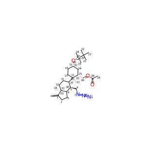 C=C1CCC2[C@H](CN=[N+]=[N-])C([C@@]3(C)CC[C@H](O[Si](C)(C)C(C)(C)C)C[C@@H]3COC(C)=O)CC[C@]12C